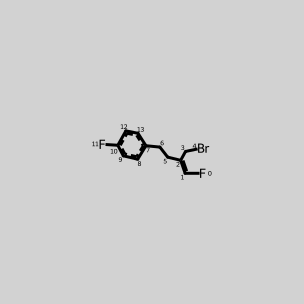 FC=C(CBr)CCc1ccc(F)cc1